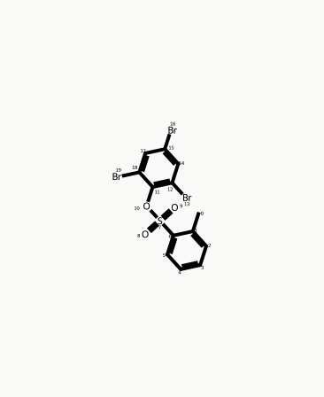 Cc1ccccc1S(=O)(=O)Oc1c(Br)cc(Br)cc1Br